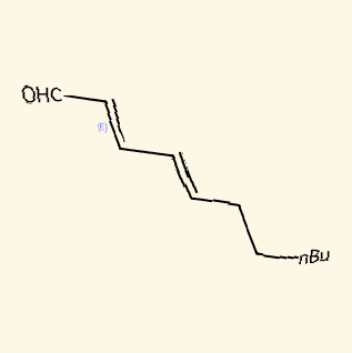 CCCCCCC=C/C=C/C=O